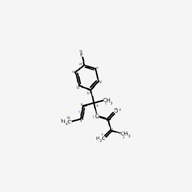 C=C(C)C(=O)OC(C)(/C=C/C)c1ccc(F)cc1